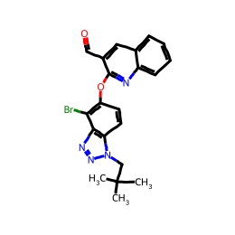 CC(C)(C)Cn1nnc2c(Br)c(Oc3nc4ccccc4cc3C=O)ccc21